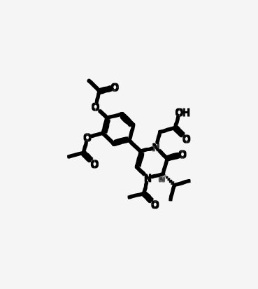 CC(=O)Oc1ccc(C2=CN(C(C)=O)[C@@H](C(C)C)C(=O)N2CC(=O)O)cc1OC(C)=O